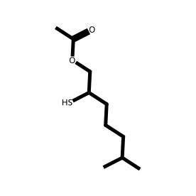 CC(=O)OCC(S)CCCC(C)C